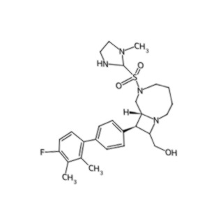 Cc1c(F)ccc(-c2ccc([C@@H]3C(CO)N4CCCCN(S(=O)(=O)C5NCCN5C)C[C@@H]34)cc2)c1C